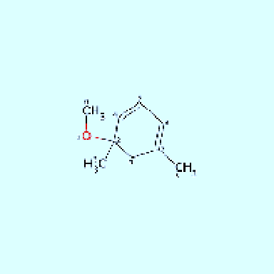 COC1(C)C=CC=C(C)C1